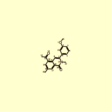 COc1cccc(-c2cc3c(C(C)=O)cc(C)cc3c(=O)n2C)c1